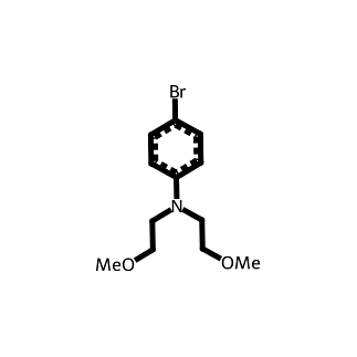 COCCN(CCOC)c1ccc(Br)cc1